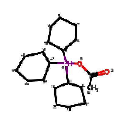 CC(=O)O[PH](C1CCCCC1)(C1CCCCC1)C1CCCCC1